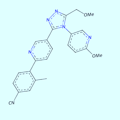 [C-]#[N+]c1ccc(-c2ccc(-c3nnc(COC)n3-c3ccc(OC)nc3)cn2)c(C)c1